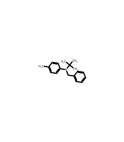 [CH2]c1ccc(N(Cc2ccccc2)C(C)(C)C)cc1